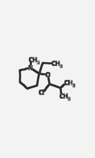 CCC1(OC(Cl)C(C)C)CCCCN1C